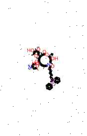 CC[C@H]1OC(=O)[C@H](C)C([C@H]2C[C@@](C)(OC)[C@@H](O)[C@H](C)O2)[C@H](C)[C@@H](O[C@H]2C[C@@H](N(C)C)C[C@@H](C)O2)[C@](C)(O)C[C@@H](C)CN(C(=O)CCCCCCC[PH](C)(c2ccccc2)c2ccccc2)[C@H](C)C[C@]1(C)O